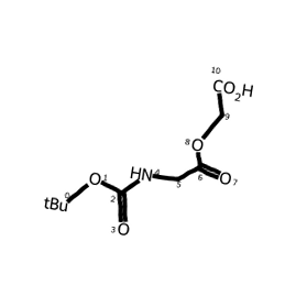 CC(C)(C)OC(=O)NCC(=O)OCC(=O)O